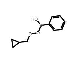 OB(OOCC1CC1)c1ccccc1